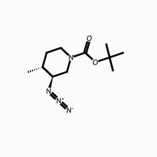 C[C@@H]1CCN(C(=O)OC(C)(C)C)C[C@H]1N=[N+]=[N-]